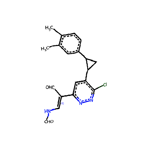 Cc1ccc(C2CC2c2cc(/C(C=O)=C/NC=O)nnc2Cl)cc1C